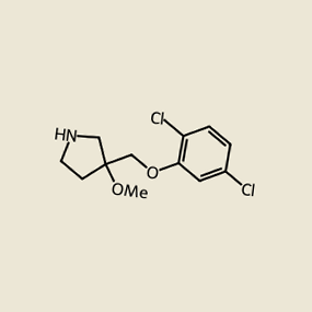 COC1(COc2cc(Cl)ccc2Cl)CCNC1